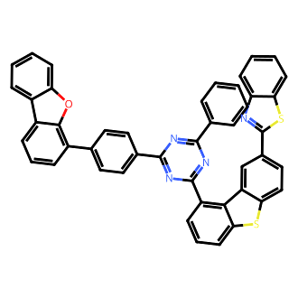 c1ccc(-c2nc(-c3ccc(-c4cccc5c4oc4ccccc45)cc3)nc(-c3cccc4sc5ccc(-c6nc7ccccc7s6)cc5c34)n2)cc1